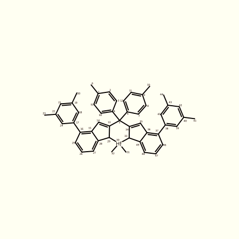 Cc1ccc(C2(c3ccc(C)cc3)C3=Cc4c(-c5cc(C)cc(C)c5)cccc4[CH]3[Hf]([CH3])([CH3])[CH]3C2=Cc2c(-c4cc(C)cc(C)c4)cccc23)cc1